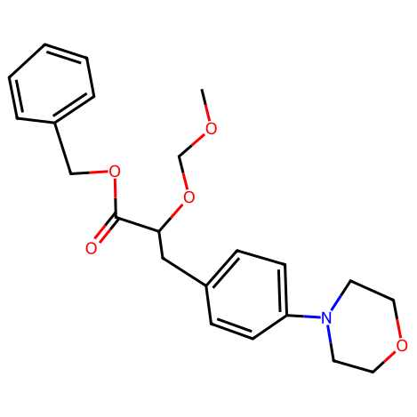 COCOC(Cc1ccc(N2CCOCC2)cc1)C(=O)OCc1ccccc1